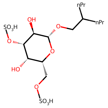 CCCC(CCC)CO[C@@H]1O[C@H](COS(=O)(=O)O)[C@H](O)[C@H](OS(=O)(=O)O)[C@H]1O